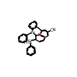 N#CC1=CC=NC(c2ccccc2N2c3ccccc3[SiH](c3ccccc3)C3C=CC=CC32)C1